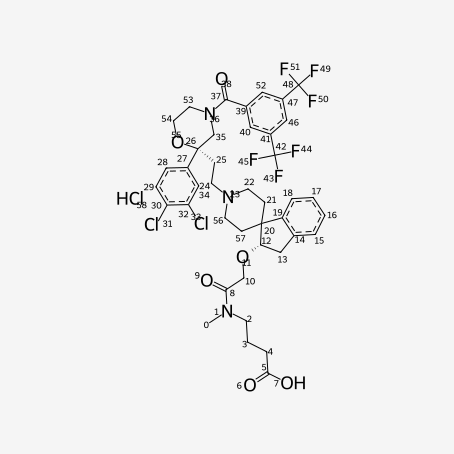 CN(CCCC(=O)O)C(=O)CO[C@H]1Cc2ccccc2C12CCN(CC[C@@]1(c3ccc(Cl)c(Cl)c3)CN(C(=O)c3cc(C(F)(F)F)cc(C(F)(F)F)c3)CCO1)CC2.Cl